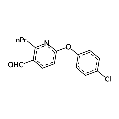 CCCc1nc(Oc2ccc(Cl)cc2)ccc1C=O